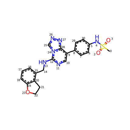 CS(=O)(=O)Nc1ccc(-c2cnc(NCc3cccc4c3CCO4)n3cnnc23)cc1